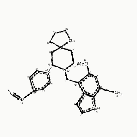 COc1cc(C)c2[nH]ccc2c1CN1CCC2(CCCO2)C[C@H]1c1ccc([S+]=O)cc1